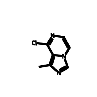 Cc1ncn2ccnc(Cl)c12